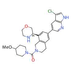 COC1CCN(C(=O)N2CCc3cc(-c4cnc5[nH]cc(Cl)c5c4)cc([C@@H]4COCCN4)c3C2)CC1